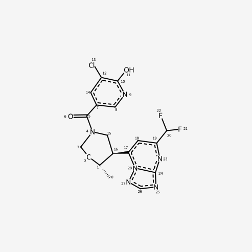 C[C@@H]1CCN(C(=O)c2cnc(O)c(Cl)c2)C[C@H]1c1cc(C(F)F)nc2ncnn12